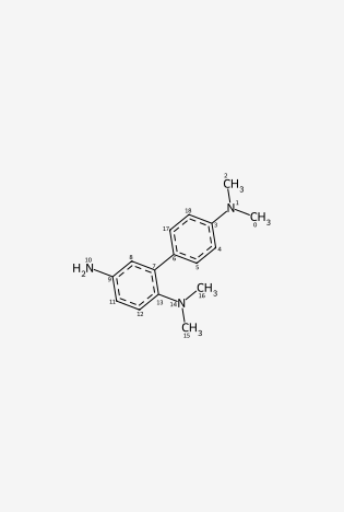 CN(C)c1ccc(-c2cc(N)ccc2N(C)C)cc1